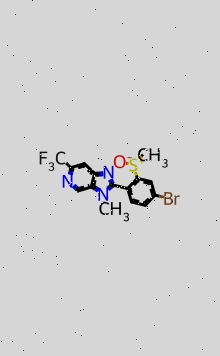 Cn1c(-c2ccc(Br)cc2[S+](C)[O-])nc2cc(C(F)(F)F)ncc21